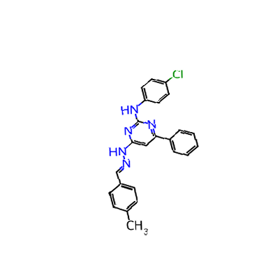 Cc1ccc(C=NNc2cc(-c3ccccc3)nc(Nc3ccc(Cl)cc3)n2)cc1